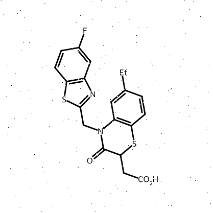 CCc1ccc2c(c1)N(Cc1nc3cc(F)ccc3s1)C(=O)C(CC(=O)O)S2